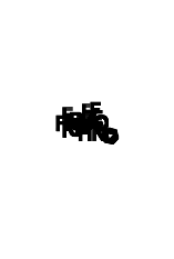 O=C(Nc1ccccc1)c1cn(OC(F)(F)C(F)F)nc1C(F)(F)F